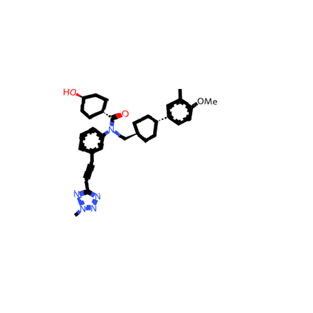 COc1ccc([C@H]2CC[C@H](CN(c3cccc(C#Cc4nnn(C)n4)c3)C(=O)[C@H]3CC[C@H](O)CC3)CC2)cc1C